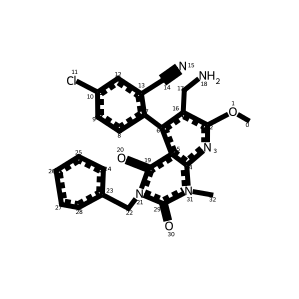 COc1nc2c(c(-c3ccc(Cl)cc3C#N)c1CN)c(=O)n(Cc1ccccc1)c(=O)n2C